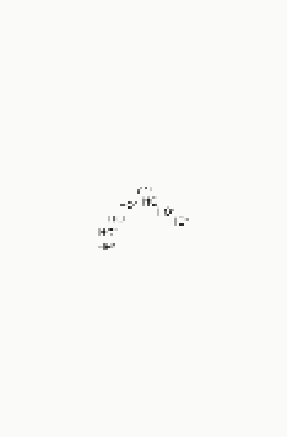 [C+4].[Fe+2].[OH-].[OH-].[OH-].[OH-].[OH-].[OH-]